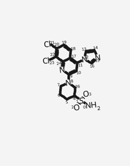 NS(=O)(=O)C1CCCN(c2cc(-n3ccnc3)c3ccc(Cl)c(Cl)c3n2)C1